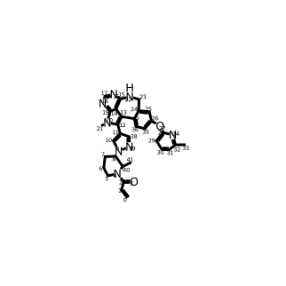 C=CC(=O)N1CCCC(n2cc(-c3c4c5c(ncnc5n3C)NCc3cc(Oc5cccc(C)n5)ccc3-4)cn2)C1C